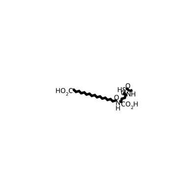 CC(NC(=O)CC[C@H](NC(=O)CCCCCCCCCCCCCCCCC(=O)O)C(=O)O)C(=O)S